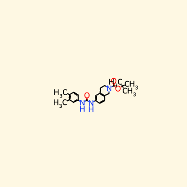 Cc1ccc(NC(=O)Nc2ccc3c(c2)CCN(C(=O)OC(C)(C)C)C3)cc1C